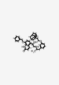 C[C@H](Cc1cccc(OCCC23CC4CC(CC(C4)C2)C3)c1)NC[C@H](O)c1ccc(OCc2ccccc2)c2[nH]c(=O)ccc12